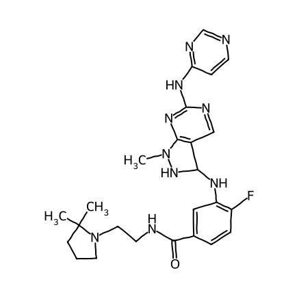 CN1NC(Nc2cc(C(=O)NCCN3CCCC3(C)C)ccc2F)c2cnc(Nc3ccncn3)nc21